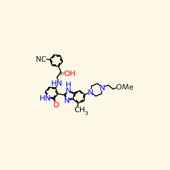 COCCN1CCN(c2cc(C)c3nc(-c4c(NC[C@@H](O)c5cccc(C#N)c5)cc[nH]c4=O)[nH]c3c2)CC1